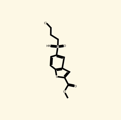 COC(=O)c1cc2cc(S(=N)(=O)CCCCl)ccc2s1